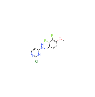 COc1ccc(CNc2ccnc(Cl)n2)c(F)c1F